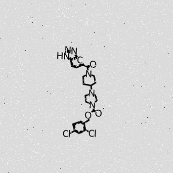 O=C(OCc1ccc(Cl)cc1Cl)N1CCN(C2CCN(C(=O)c3ccc4[nH]nnc4c3)CC2)CC1